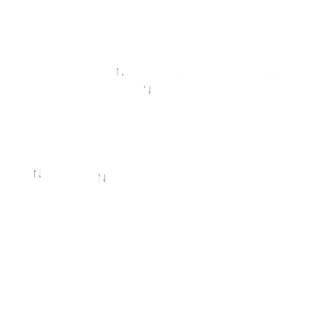 O=CC1CC(n2cc(-c3cnc4ccccc4n3)c(C3CC3)n2)C1